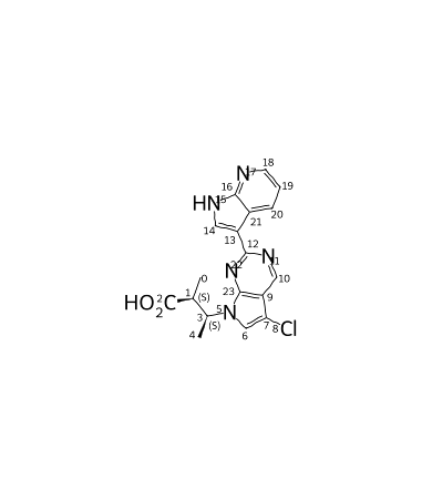 C[C@H](C(=O)O)[C@H](C)n1cc(Cl)c2cnc(-c3c[nH]c4ncccc34)nc21